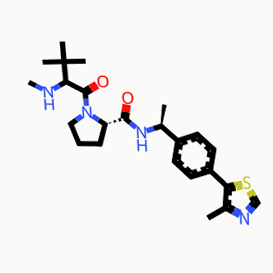 CNC(C(=O)N1CCC[C@H]1C(=O)N[C@@H](C)c1ccc(-c2scnc2C)cc1)C(C)(C)C